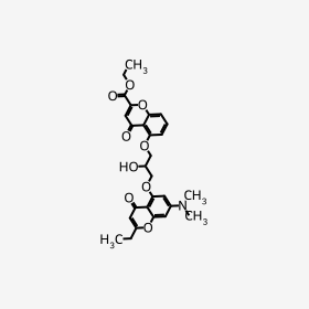 CCOC(=O)c1cc(=O)c2c(OCC(O)COc3cc(N(C)C)cc4oc(CC)cc(=O)c34)cccc2o1